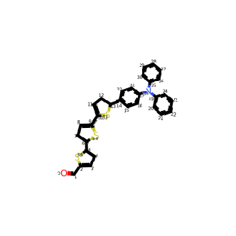 O=CC1=CCC(C2CC=C(C3=CCC(c4ccc(N(c5ccccc5)c5ccccc5)cc4)S3)S2)S1